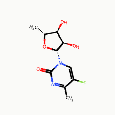 Cc1nc(=O)n([C@@H]2O[C@H](C)[C@@H](O)[C@H]2O)cc1F